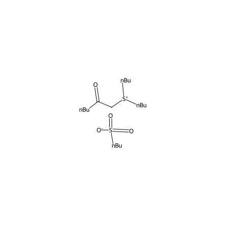 CCCCC(=O)C[S+](CCCC)CCCC.CCCCS(=O)(=O)[O-]